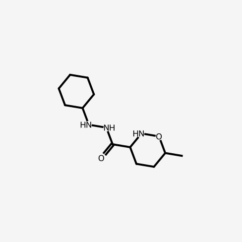 CC1CCC(C(=O)NNC2CCCCC2)NO1